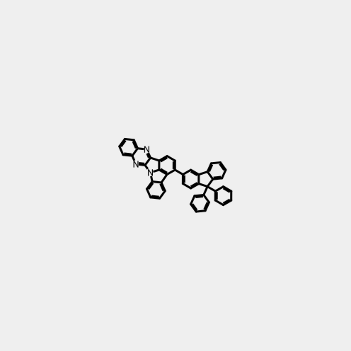 c1ccc(C2(c3ccccc3)c3ccccc3-c3cc(-c4ccc5c6nc7ccccc7nc6n6c7ccccc7c4c56)ccc32)cc1